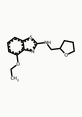 CCOc1cccc2sc(NCC3CCCO3)nc12